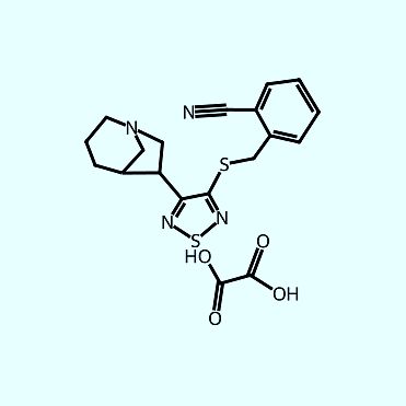 N#Cc1ccccc1CSc1nsnc1C1CN2CCCC1C2.O=C(O)C(=O)O